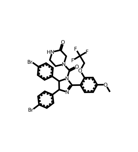 COc1ccc(C2=NC(c3ccc(Br)cc3)C(c3ccc(Br)cc3)N2C(=O)N2CCNC(=O)C2)c(OCC(F)(F)F)c1